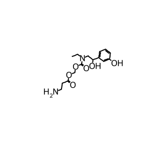 CCN(CC(O)c1cccc(O)c1)C(=O)OCOC(=O)CCN